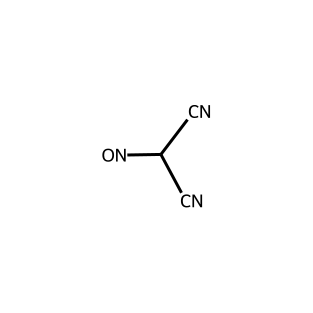 N#CC(C#N)N=O